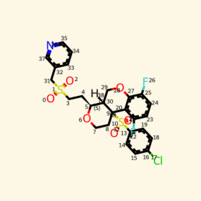 O=S(=O)(CC[C@@H]1OCC[C@@]2(S(=O)(=O)c3ccc(Cl)cc3)c3c(F)ccc(F)c3OC[C@@H]12)Cc1cccnc1